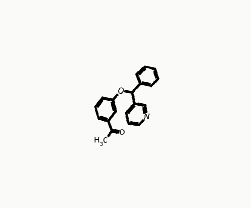 CC(=O)c1cccc(OC(c2ccccc2)c2cccnc2)c1